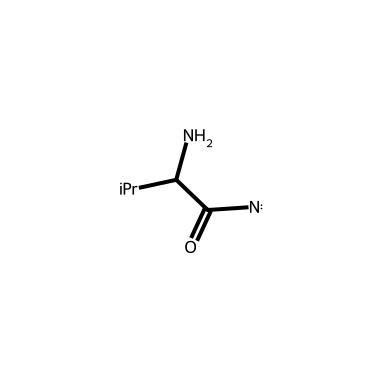 CC(C)C(N)C([N])=O